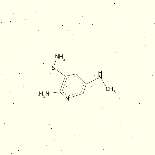 CNc1cnc(N)c(SN)c1